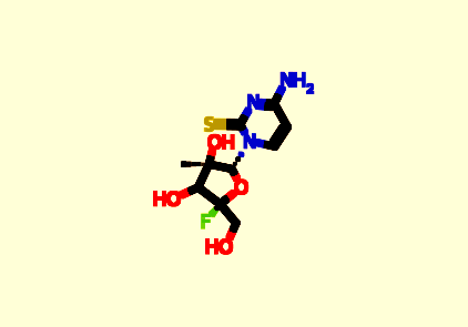 C[C@@]1(O)C(O)[C@@](F)(CO)O[C@H]1n1ccc(N)nc1=S